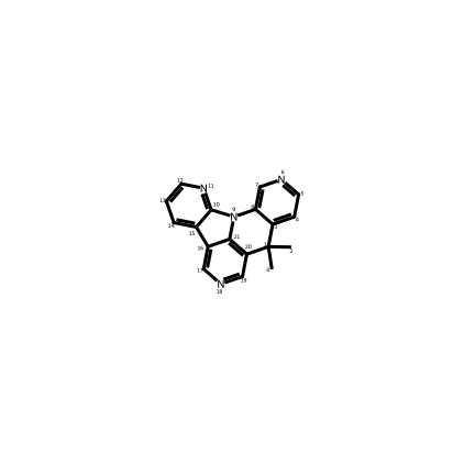 CC1(C)c2ccncc2-n2c3ncccc3c3cncc1c32